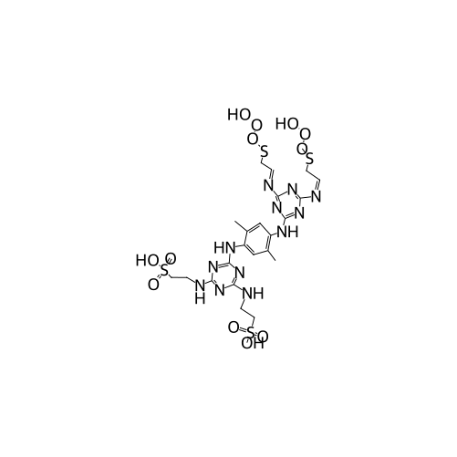 Cc1cc(Nc2nc(NCCS(=O)(=O)O)nc(NCCS(=O)(=O)O)n2)c(C)cc1Nc1nc(/N=C\CSOOO)nc(/N=C/CSOOO)n1